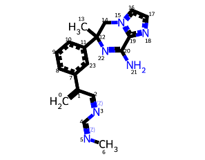 C=C(/C=N\C=N/C)c1cccc(C2(C)Cn3ccnc3C(N)=N2)c1